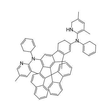 CC1=CC(C)=C(N(C2=CC=CCC2)C2=CC3=C(CC2)c2cc(N(c4ncc(C)cc4C)C4C=CC=CC4)c4c(c2C3(C)C)C2(c3ccccc3-c3ccccc32)c2c-4ccc3ccccc23)NC1